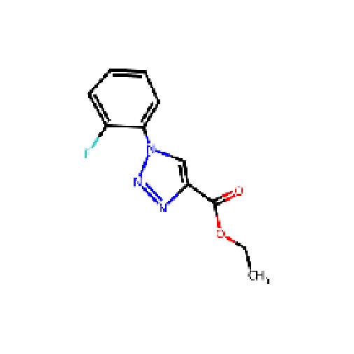 CCOC(=O)c1cn(-c2ccccc2F)nn1